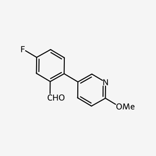 COc1ccc(-c2ccc(F)cc2C=O)cn1